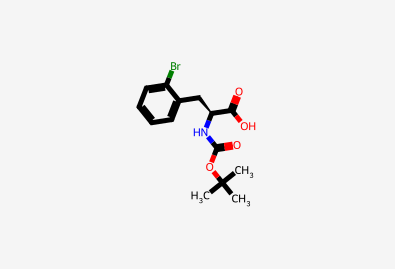 CC(C)(C)OC(=O)N[C@@H](Cc1ccccc1Br)C(=O)O